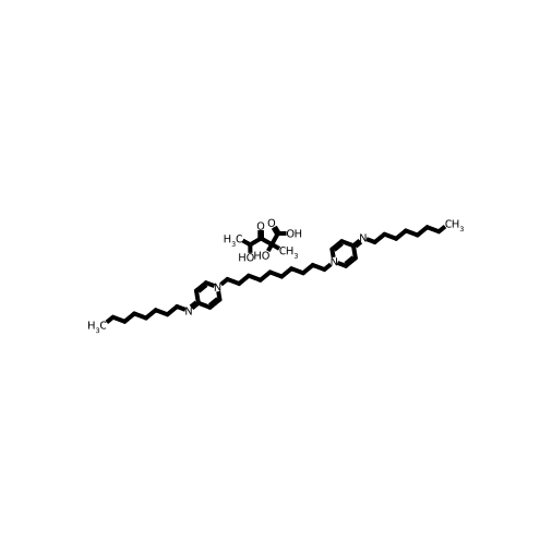 CC(O)C(=O)C(C)(O)C(=O)O.CCCCCCCCN=c1ccn(CCCCCCCCCCn2ccc(=NCCCCCCCC)cc2)cc1